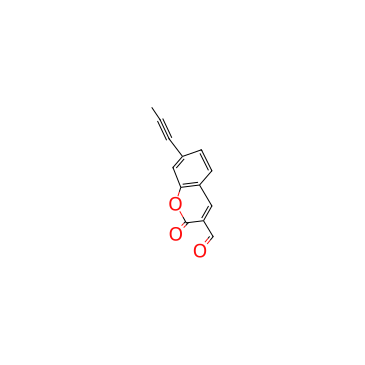 CC#Cc1ccc2cc(C=O)c(=O)oc2c1